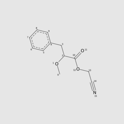 COC(Cc1ccccc1)C(=O)OCC#N